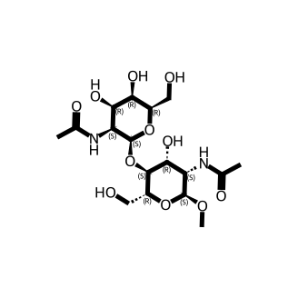 CO[C@H]1O[C@H](CO)[C@@H](O[C@@H]2O[C@H](CO)[C@H](O)[C@H](O)[C@@H]2NC(C)=O)[C@H](O)[C@@H]1NC(C)=O